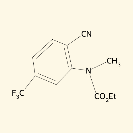 CCOC(=O)N(C)c1cc(C(F)(F)F)ccc1C#N